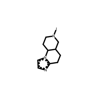 IN1CCC2C(CCc3nccn32)C1